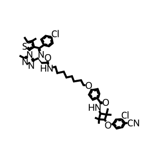 Cc1sc2c(c1C)C(c1ccc(Cl)cc1)=N[C@@H](CC(=O)NCCCCCCCCOc1ccc(C(=O)NC3C(C)(C)C(Oc4ccc(C#N)c(Cl)c4)C3(C)C)cc1)c1nnc(C)n1-2